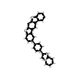 c1ccc2c(c1)oc1cc3oc4ccc(-c5ccc(-c6cn7ccccc7n6)cc5)cc4c3cc12